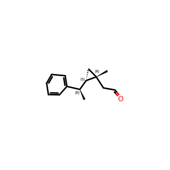 C[C@@H](c1ccccc1)[C@@H]1C[C@]1(C)CC=O